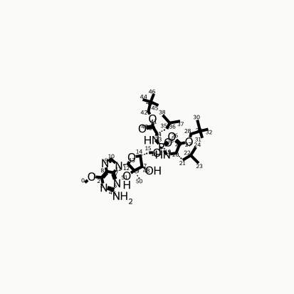 COc1nc(N)nc2c1ncn2[C@@H]1O[C@H](COP(=O)(N[C@@H](CC(C)C)C(=O)OCC(C)(C)C)N[C@@H](CC(C)C)C(=O)OCC(C)(C)C)[C@@H](O)[C@@]1(C)O